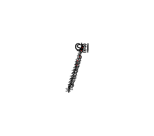 Cl[Si](Cl)(Cl)CCCCCCCCCCCCCCCCCCCCCCCCCCCCI